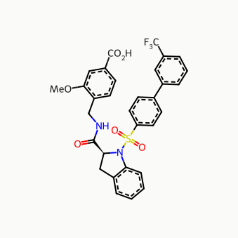 COc1cc(C(=O)O)ccc1CNC(=O)[C@@H]1Cc2ccccc2N1S(=O)(=O)c1ccc(-c2cccc(C(F)(F)F)c2)cc1